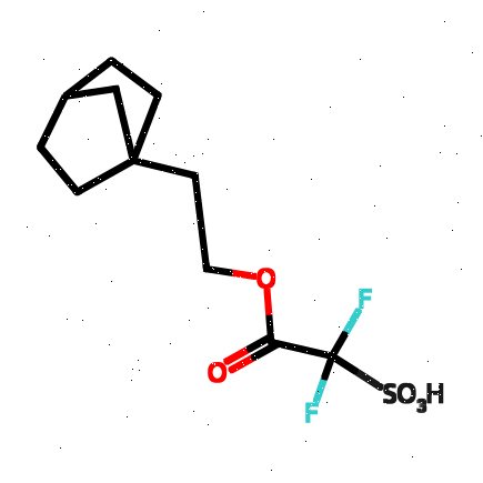 O=C(OCCC12CCC(CC1)C2)C(F)(F)S(=O)(=O)O